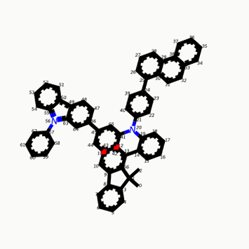 CC1(C)c2ccccc2-c2cccc(-c3ccccc3N(c3ccc(-c4cccc5c4ccc4ccccc45)cc3)c3cccc(-c4ccc5c6ccccc6n(-c6ccccc6)c5c4)c3)c21